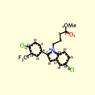 COC(=O)CCCn1c(-c2ccc(Cl)c(C(F)(F)F)c2)cc2cc(Cl)ccc21